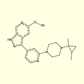 CC(C)Oc1cc2c(-c3ccnc(N4CCN(S5(C)CC5C)CC4)c3)n[nH]c2cn1